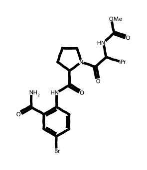 COC(=O)NC(C(=O)N1CCCC1C(=O)Nc1ccc(Br)cc1C(N)=O)C(C)C